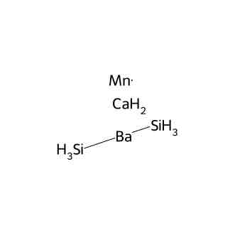 [CaH2].[Mn].[SiH3][Ba][SiH3]